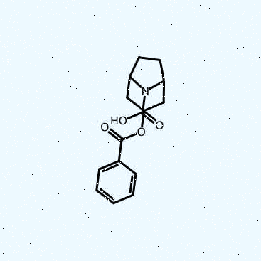 O=C(OC1CC2CCC(C1)N2C(=O)O)c1ccccc1